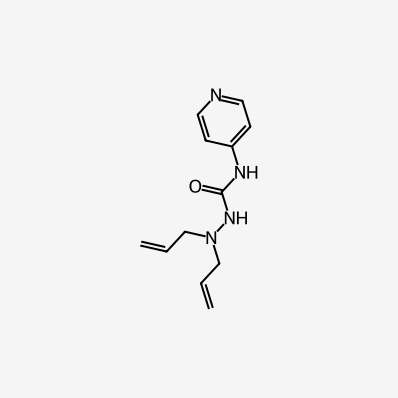 C=CCN(CC=C)NC(=O)Nc1ccncc1